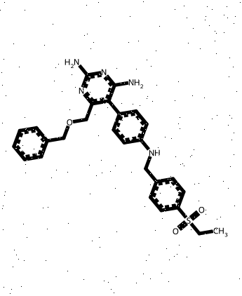 CCS(=O)(=O)c1ccc(CNc2ccc(-c3c(N)nc(N)nc3COCc3ccccc3)cc2)cc1